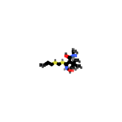 C=CCSCSC(=NO)C(C(=O)NC)C(C)(C)C